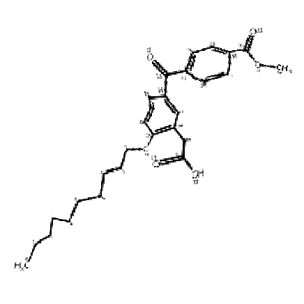 CCCCCCCCCCOc1ccc(C(=O)c2ccc(C(=O)OC)cc2)cc1CC(=O)O